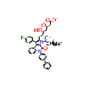 CC(C)n1c(CC[C@@H](O)C[C@@H](O)CC(=O)[O-])c(-c2ccc(F)cc2)c2c3ccccc3n(-c3ccc(-c4ccccc4)cc3)c(=O)c21.[Na+]